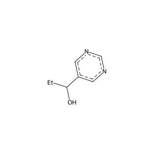 CCC(O)c1cncnc1